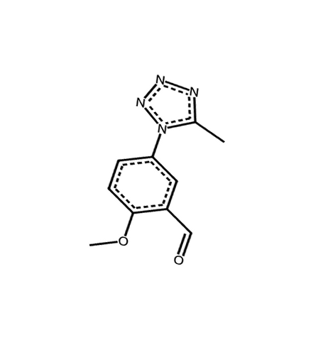 COc1ccc(-n2nnnc2C)cc1C=O